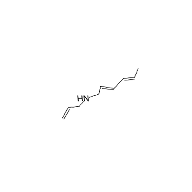 C=CCNC/C=C/C=C/C